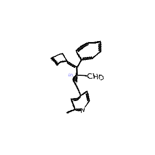 Cc1cc(/C=C(\C=O)C(=C2CCC2)c2ccccc2)ccn1